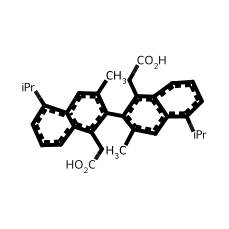 Cc1cc2c(C(C)C)cccc2c(CC(=O)O)c1-c1c(C)cc2c(C(C)C)cccc2c1CC(=O)O